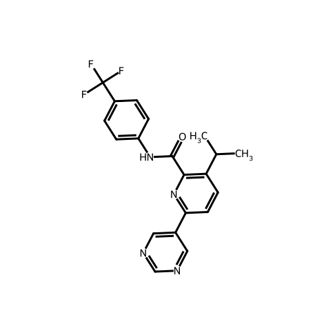 CC(C)c1ccc(-c2cncnc2)nc1C(=O)Nc1ccc(C(F)(F)F)cc1